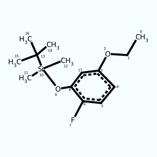 CCOc1ccc(F)c(O[Si](C)(C)C(C)(C)C)c1